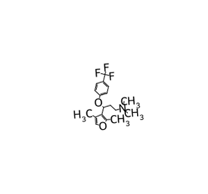 Cc1coc(C)c1C(CCN(C)C)Oc1ccc(C(F)(F)F)cc1